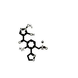 Cc1c(C(=O)c2cnn(C)c2O)ccc(C[SH](=O)=O)c1C1=NOCC1